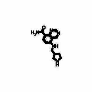 NC(=O)c1ccc(NCC2CCNC2)c2cncnc12